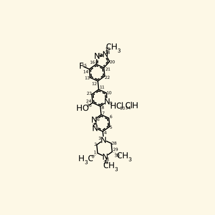 C[C@@H]1CN(c2ccc(-c3ncc(-c4cc(F)c5nn(C)cc5c4)cc3O)nn2)C[C@H](C)N1C.Cl.Cl